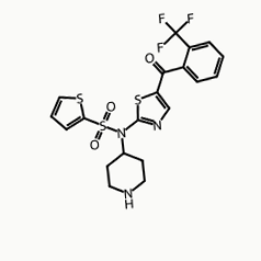 O=C(c1cnc(N(C2CCNCC2)S(=O)(=O)c2cccs2)s1)c1ccccc1C(F)(F)F